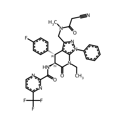 CCN1C(=O)[C@@H](NC(=O)c2nccc(C(F)(F)F)n2)[C@H](c2ccc(F)cc2)c2c(CN(C)C(=O)CC#N)nn(-c3ccccc3)c21